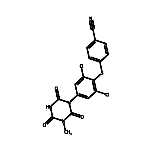 Cn1c(=O)[nH]c(=O)n(-c2cc(Cl)c(Sc3ccc(C#N)cc3)c(Cl)c2)c1=O